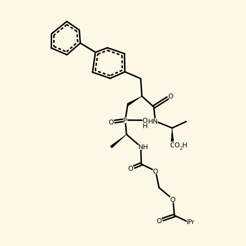 CC(C)C(=O)OCOC(=O)N[C@@H](C)P(=O)(O)C[C@@H](Cc1ccc(-c2ccccc2)cc1)C(=O)N[C@@H](C)C(=O)O